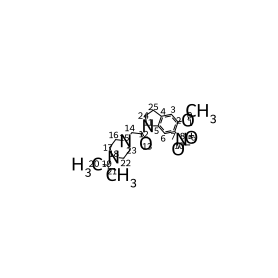 COc1cc2c(cc1[N+](=O)[O-])N(C(=O)CN1CCN(C(C)C)CC1)CC2